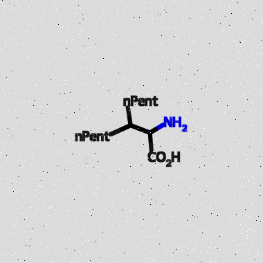 CCCCCC(CCCCC)C(N)C(=O)O